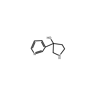 OC1(c2cccnc2)CCNC1